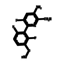 CCCCOc1ccc(F)c(-c2nc(C(=O)O)c(N)cc2F)c1F